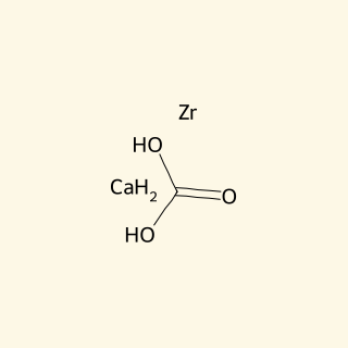 O=C(O)O.[CaH2].[Zr]